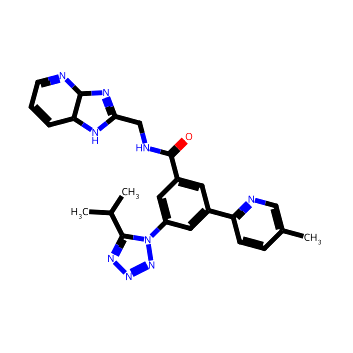 Cc1ccc(-c2cc(C(=O)NCC3=NC4N=CC=CC4N3)cc(-n3nnnc3C(C)C)c2)nc1